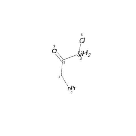 CCCCC(=O)[SiH2]Cl